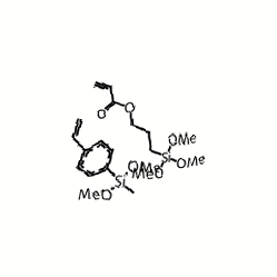 C=CC(=O)OCCC[Si](OC)(OC)OC.C=Cc1ccc([Si](C)(OC)OC)cc1